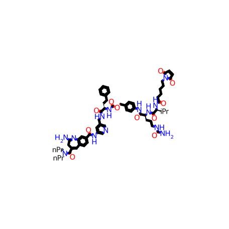 CCCN(CCC)C(=O)C1=Cc2ccc(C(=O)Nc3cncc(CNC(=O)[C@H](CCc4ccccc4)NC(=O)OCc4ccc(NC(=O)[C@H](CCCNC(N)=O)NC(=O)[C@@H](NC(=O)CCCCCN5C(=O)C=CC5=O)C(C)C)cc4)c3)cc2N=C(N)C1